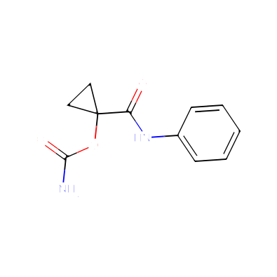 NC(=O)OC1(C(=O)Nc2ccccc2)CC1